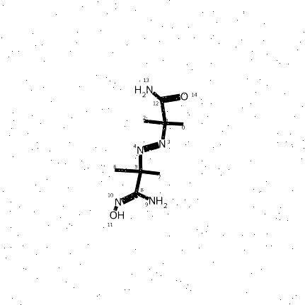 CC(C)(N=NC(C)(C)C(N)=NO)C(N)=O